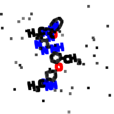 C=CC(=O)N1C2CCC1CN(c1ncc3ncnc(Nc4ccc(Oc5ccc6c(c5)nnn6C)c(C)c4)c3n1)C2